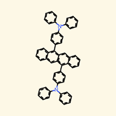 c1ccc(N(c2ccccc2)c2ccc(-c3c4ccccc4cc4c(-c5ccc(N(c6ccccc6)c6ccccc6)cc5)c5ccccc5cc34)cc2)cc1